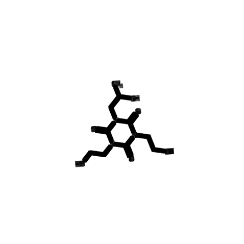 CC(O)Cn1c(=O)n(CCO)c(=O)n(CCO)c1=O